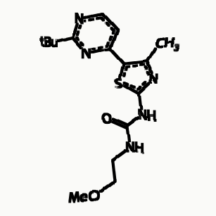 COCCNC(=O)Nc1nc(C)c(-c2ccnc(C(C)(C)C)n2)s1